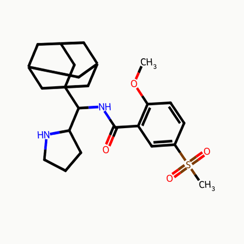 COc1ccc(S(C)(=O)=O)cc1C(=O)NC(C1CCCN1)C12CC3CC(CC(C3)C1)C2